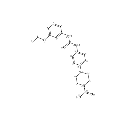 CCOc1cccc(NC(=O)Nc2ccc(N3CCN(C(=O)O)CC3)cc2)c1